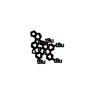 CC(C)(C)c1cc(-c2cc(C(C)(C)C)ccc2N2c3ccc(C(C)(C)C)cc3B3c4c(cc(C(C)(C)C)cc42)Oc2ccc4c(oc5ccc6c(c54)CCC6)c23)cc(C(C)(C)C)c1